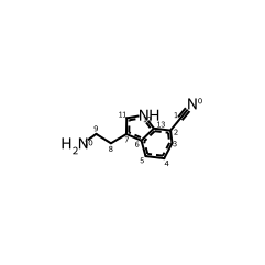 N#Cc1cccc2c(CCN)c[nH]c12